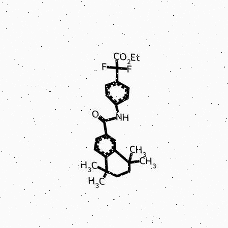 CCOC(=O)C(F)(F)c1ccc(NC(=O)c2ccc3c(c2)C(C)(C)CCC3(C)C)cc1